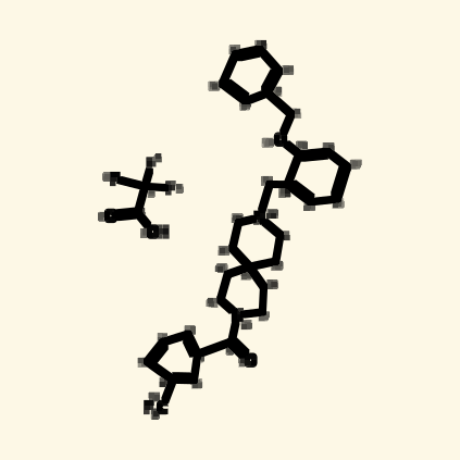 O=C(O)C(F)(F)F.O=C(c1cccc(C(F)(F)F)c1)N1CCC2(CCN(Cc3ccccc3OCc3ccccc3)CC2)CC1